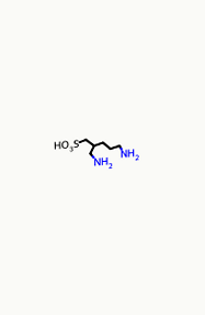 NCCCC(CN)CS(=O)(=O)O